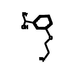 CC(C)C(O)c1cccc(OCC[18F])c1